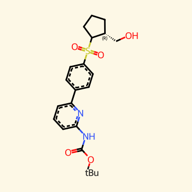 CC(C)(C)OC(=O)Nc1cccc(-c2ccc(S(=O)(=O)C3CCC[C@@H]3CO)cc2)n1